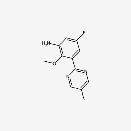 COc1c(N)cc(F)cc1-c1ncc(C)cn1